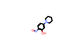 O=Nc1ccc(N2CCCCC2)cc1O